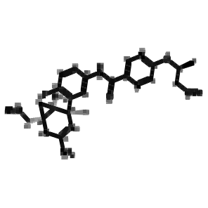 COC[C@H](C)Oc1cnc(C(=O)Nc2ccc(F)c([C@@]3(C)N=C(N)S[C@@]4(COC)C[C@H]43)c2)cn1